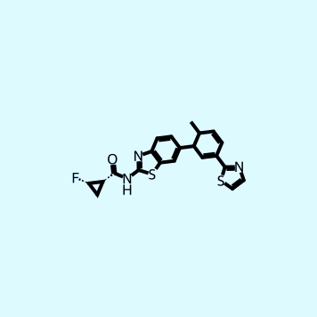 CC1C=CC(c2nccs2)=CC1c1ccc2nc(NC(=O)[C@@H]3C[C@@H]3F)sc2c1